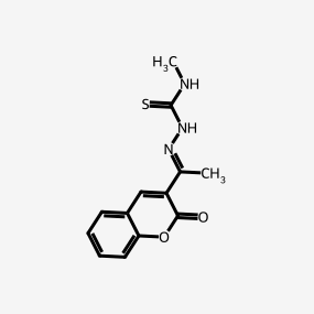 CNC(=S)NN=C(C)c1cc2ccccc2oc1=O